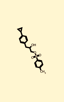 Cc1ccc(S(=O)(=O)OCC(O)Cc2ccc(C3CC3)cc2)cc1